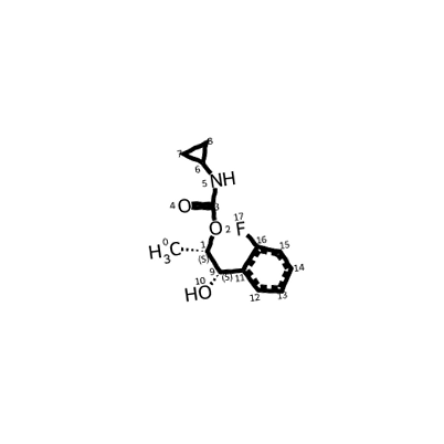 C[C@H](OC(=O)NC1CC1)[C@@H](O)c1ccccc1F